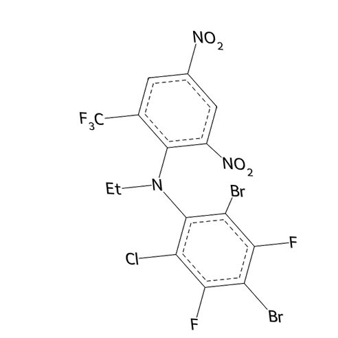 CCN(c1c([N+](=O)[O-])cc([N+](=O)[O-])cc1C(F)(F)F)c1c(Cl)c(F)c(Br)c(F)c1Br